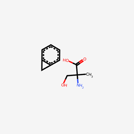 CC(N)(CO)C(=O)O.c1ccc2c(c1)C2